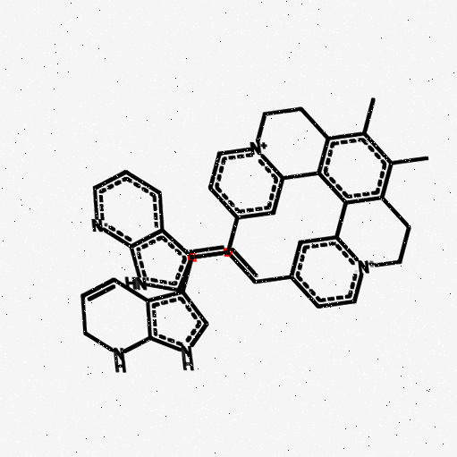 Cc1c(C)c2c(c3c1CC[n+]1ccc(/C=C/c4c[nH]c5c4C=CCN5)cc1-3)-c1cc(/C=C/c3c[nH]c4ncccc34)cc[n+]1CC2